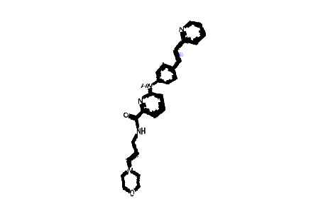 O=C(NCCCN1CCOCC1)c1cccc(Nc2ccc(/C=C/c3ccccn3)cc2)n1